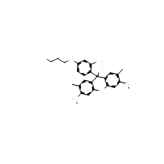 CCNc1cc2c(cc1C)C(O)(c1ccc(OCCCC(=O)O)cc1C=O)c1cc(C)c(NCC)cc1O2